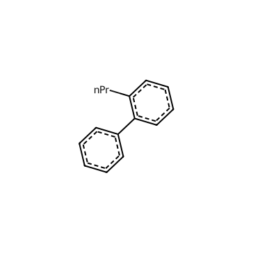 CCCc1ccccc1-c1ccccc1